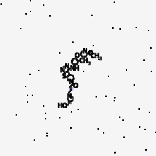 COc1ccc(Oc2ccc(Nc3ncnc4sc5c(c34)CCN(C(=O)/C=C/CN3CC[C@@H](CO)C3)C5)cc2C)cn1